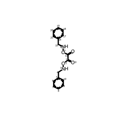 O=C(ONCc1ccccc1)C(=O)ONCc1ccccc1